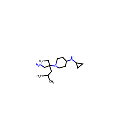 CCC(CN)(CC(C)C)N1CCC(NC2CC2)CC1